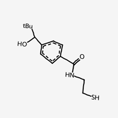 CC(C)(C)C(O)c1ccc(C(=O)NCCS)cc1